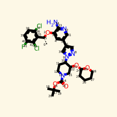 C[C@@H](Oc1cc(-c2cnn(C3CCN(C(=O)OC(C)(C)C)CC3OC3CCCCO3)c2)cnc1N)c1c(Cl)ccc(F)c1Cl